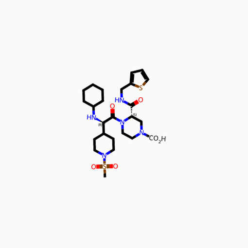 CS(=O)(=O)N1CCC([C@@H](NC2CCCCC2)C(=O)N2CCN(C(=O)O)C[C@H]2C(=O)NCc2cccs2)CC1